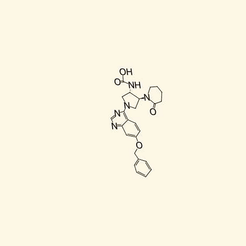 O=C(O)N[C@H]1CN(c2ncnc3cc(OCc4ccccc4)ccc23)C[C@@H]1N1CCCCC1=O